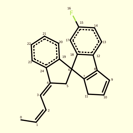 C/C=C\C=C1/CC2(C3=C(C=CC3)c3ccc(F)cc32)c2ccccc21